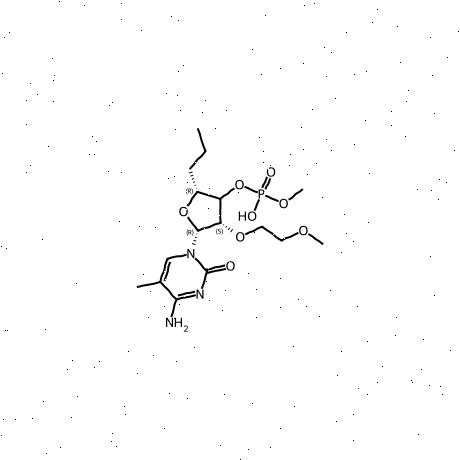 CCC[C@H]1O[C@@H](n2cc(C)c(N)nc2=O)[C@@H](OCCOC)C1OP(=O)(O)OC